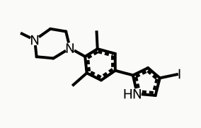 Cc1cc(-c2cc(I)c[nH]2)cc(C)c1N1CCN(C)CC1